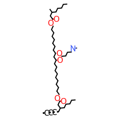 C=C=C=C=CC(CCCCC)CC(=O)OCCCCCCCCCCC(CCCCCCCCCCOC(=O)CC(C)CCCCC)OC(=O)CCCN(C)C